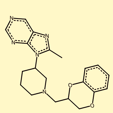 Cc1nc2cncnc2n1C1CCCN(CC2COc3ccccc3O2)C1